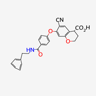 N#Cc1cc2c(cc1Oc1ccc(C(=O)NCCc3ccccc3)cc1)OCCC2C(=O)O